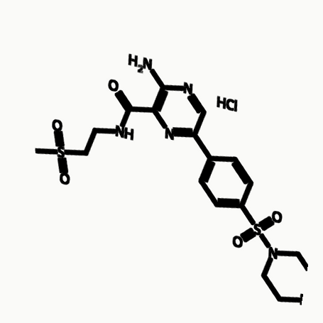 CN1CCN(S(=O)(=O)c2ccc(-c3cnc(N)c(C(=O)NCCS(C)(=O)=O)n3)cc2)CC1.Cl